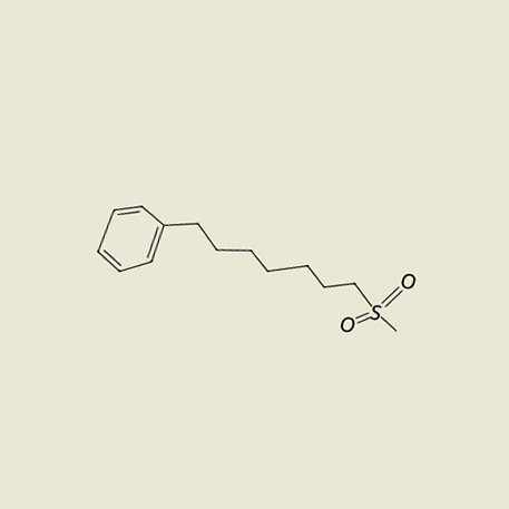 CS(=O)(=O)CCCCCCCc1ccccc1